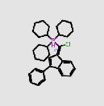 Cl/C(=C1/C=C(c2ccccc2)c2ccccc21)[PH](C1CCCCC1)(C1CCCCC1)C1CCCCC1